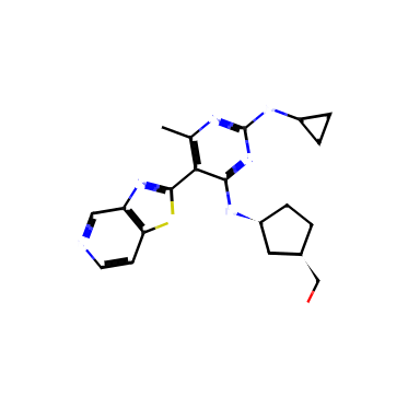 Cc1nc(NC2CC2)nc(N[C@H]2CC[C@@H](CO)C2)c1-c1nc2cnccc2s1